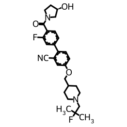 CC(C)(F)CN1CCC(COc2ccc(-c3ccc(C(=O)N4CC[C@@H](O)C4)c(F)c3)c(C#N)c2)CC1